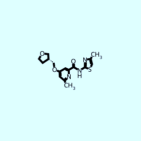 Cc1cc(OC[C@@H]2CCOC2)cc(C(=O)Nc2nc(C)cs2)n1